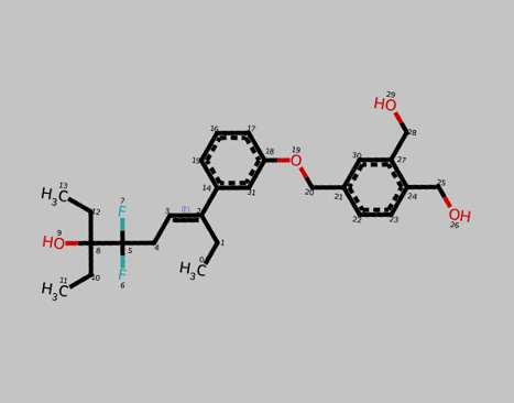 CC/C(=C\CC(F)(F)C(O)(CC)CC)c1cccc(OCc2ccc(CO)c(CO)c2)c1